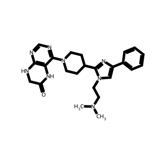 CN(C)CCn1cc(-c2ccccc2)nc1C1CCN(c2ncnc3c2NC(=O)CN3)CC1